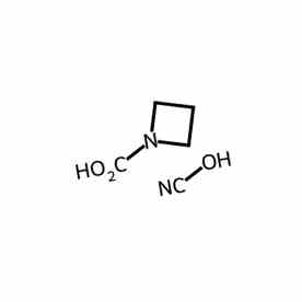 N#CO.O=C(O)N1CCC1